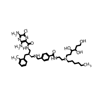 CCCCCCN(CCNC(=O)c1ccc(CNC[C@H](CNC(=O)c2nc(Cl)c(N)nc2N)Cc2ccccc2C)cc1)CCC(O)C(O)CCO